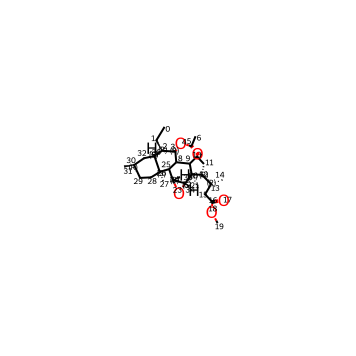 CC[C@H]1[C@@H](OC(C)=O)C2C3CC[C@H]([C@H](C)CC(=O)OC)[C@@]3(C)[C@@H]3O[C@@H]3C2[C@@]2(C)CC[C@@H](C)C[C@@H]12